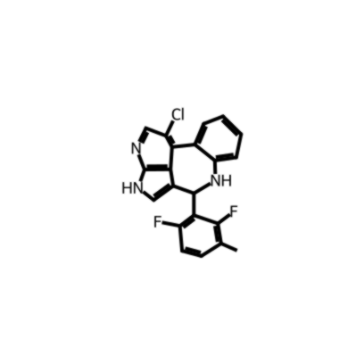 Cc1ccc(F)c(C2Nc3ccccc3-c3c(Cl)cnc4[nH]cc2c34)c1F